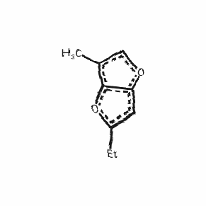 CCc1cc2occ(C)c2o1